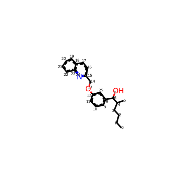 CCCCC(C)C(O)c1cccc(OCc2ccc3ccccc3n2)c1